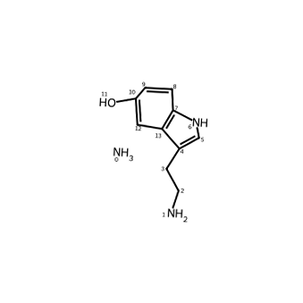 N.NCCc1c[nH]c2ccc(O)cc12